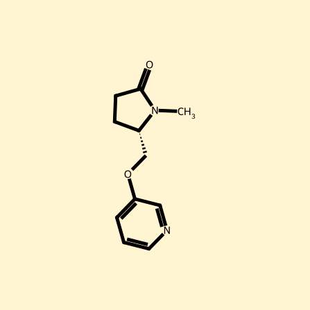 CN1C(=O)CC[C@H]1COc1cccnc1